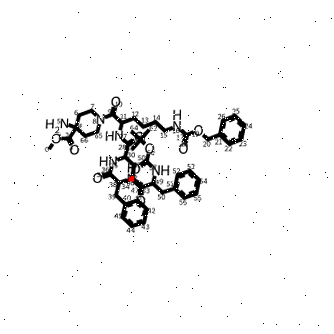 COC(=O)C1(N)CCN(C(=O)C(CCCCNC(=O)OCc2ccccc2)NC(=O)C(CC(C)C)NC(=O)C(Cc2ccccc2)NC(=O)C(Cc2ccccc2)NC(=O)OC(C)(C)C)CC1